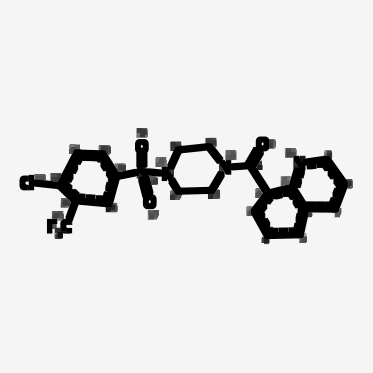 O=C(c1cccc2cccnc12)N1CCN(S(=O)(=O)c2ccc(Cl)c(C(F)(F)F)c2)CC1